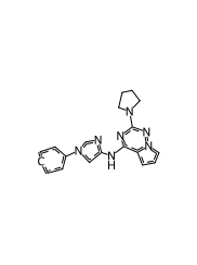 c1ccc(-n2cnc(Nc3nc(N4CCCC4)nn4cccc34)c2)cc1